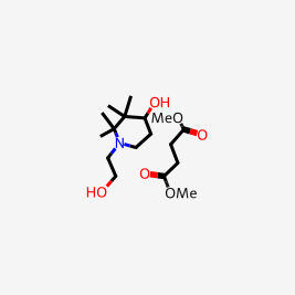 CC1(C)C(O)CCN(CCO)C1(C)C.COC(=O)CCC(=O)OC